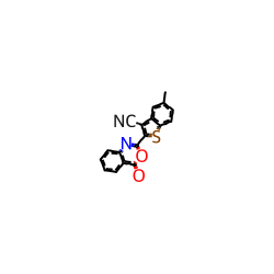 Cc1ccc2sc(-c3nc4ccccc4c(=O)o3)c(C#N)c2c1